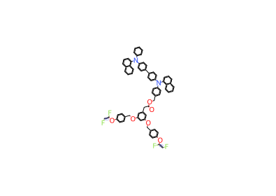 O=C(Cc1cc(OCc2ccc(O/C(F)=C\F)cc2)cc(OCc2ccc(O/C(F)=C\F)cc2)c1)OCc1ccc(N(c2ccc(-c3ccc(N(c4ccccc4)c4cccc5ccccc45)cc3)cc2)c2cccc3ccccc23)cc1